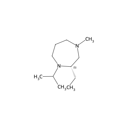 CC[C@H]1CN(C)CCCN1C(C)C